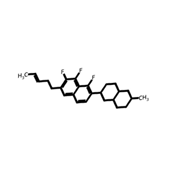 CC=CCCc1cc2ccc(C3CCC4CC(C)CCC4C3)c(F)c2c(F)c1F